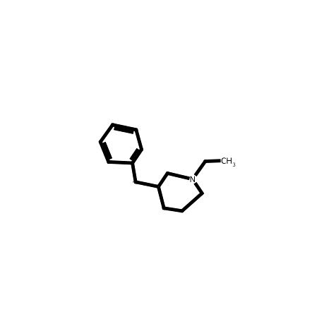 CCN1CCCC([CH]c2ccccc2)C1